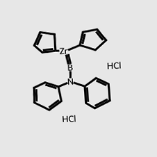 Cl.Cl.[B](N(c1ccccc1)c1ccccc1)=[Zr]([C]1=CC=CC1)[C]1=CC=CC1